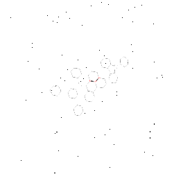 c1ccc(-c2cc(-c3ccccc3)cc(N(c3ccccc3-c3cccc(-c4cccc5c4c4ccccc4n5-c4ccccc4)c3)c3cc4ccccc4c4ccccc34)c2)cc1